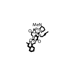 CC#CCn1c(N2CCCC(NC)C2)nc2c1c(=O)n(Cc1nc(C)cc3ccccc13)c(=O)n2CC(=O)OCCC